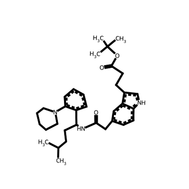 CC(C)CCC(NC(=O)Cc1ccc2[nH]cc(CCC(=O)OC(C)(C)C)c2c1)c1ccccc1N1CCCCC1